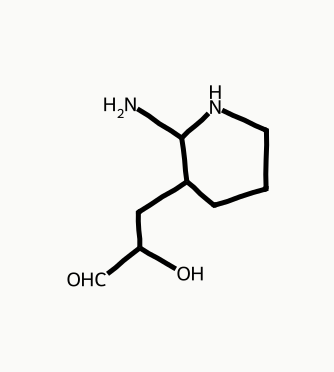 NC1NCCCC1CC(O)C=O